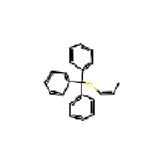 C/C=C\SC(c1ccccc1)(c1ccccc1)c1ccccc1